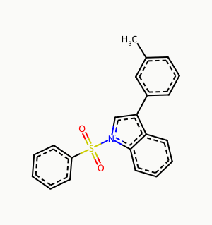 Cc1cccc(-c2cn(S(=O)(=O)c3ccccc3)c3ccccc23)c1